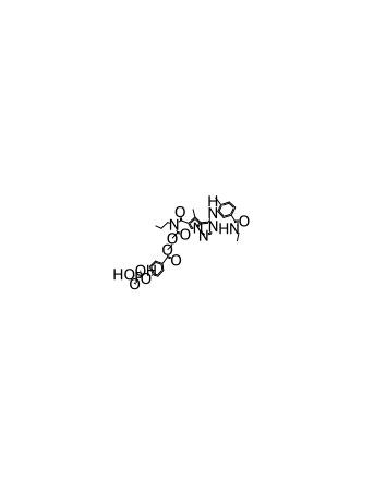 CCCN(C(=O)OCOC(=O)c1ccc(OP(=O)(O)O)cc1)C(=O)c1cn2ncnc(Nc3cc(C(=O)NCC)ccc3C)c2c1C